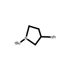 CCCC1CCN(C(C)(C)C)C1